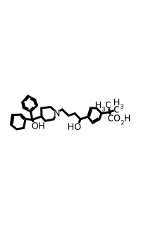 CC(C)(C(=O)O)C1C=CC(C(O)CCCN2CCC(C(O)(C3=CC=CCC3)c3ccccc3)CC2)=CC1